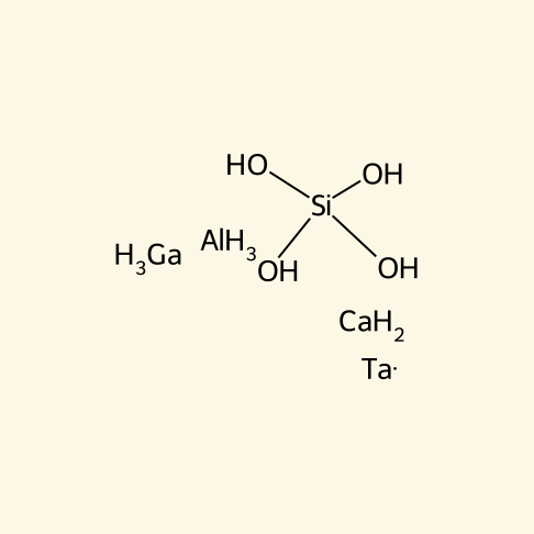 O[Si](O)(O)O.[AlH3].[CaH2].[GaH3].[Ta]